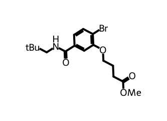 COC(=O)CCCOc1cc(C(=O)NCC(C)(C)C)ccc1Br